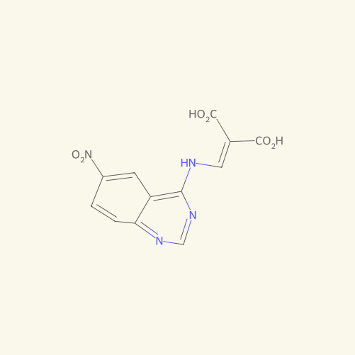 O=C(O)C(=CNc1ncnc2ccc([N+](=O)[O-])cc12)C(=O)O